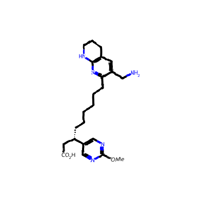 COc1ncc([C@@H](CCCCCCc2nc3c(cc2CN)CCCN3)CC(=O)O)cn1